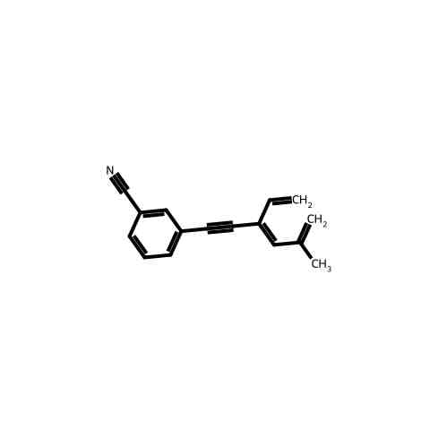 C=C/C(C#Cc1cccc(C#N)c1)=C\C(=C)C